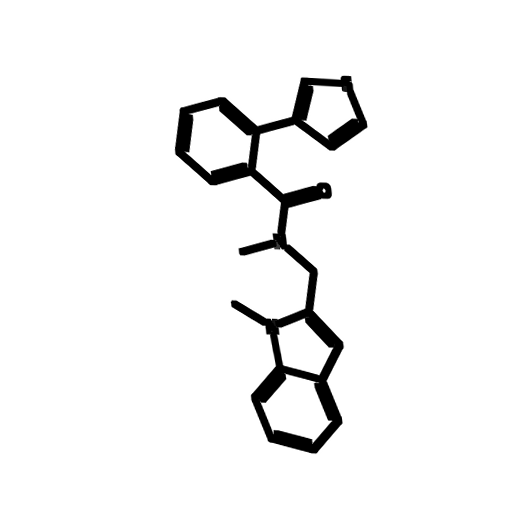 CN(Cc1cc2ccccc2n1C)C(=O)c1ccccc1-c1ccsc1